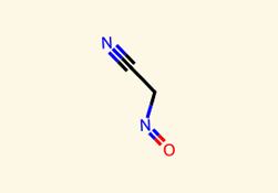 N#CCN=O